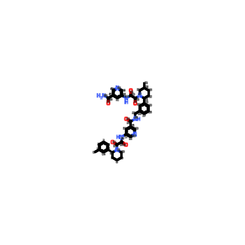 Cc1cccc([C@@H]2CCCCN2C(=O)C(=O)Nc2cncc(C(=O)NCc3cccc(C4CCC(C)CN4C(=O)C(=O)Nc4cncc(C(N)=O)c4)c3)c2)c1